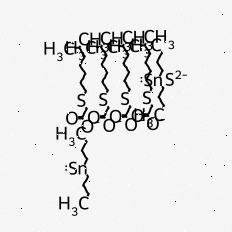 CC(C)CCCCCSCC(=O)[O-].CC(C)CCCCCSCC(=O)[O-].CC(C)CCCCCSCC(=O)[O-].CC(C)CCCCCSCC(=O)[O-].CCC[CH2][Sn][CH2]CCC.CCC[CH2][Sn][CH2]CCC.[S-2]